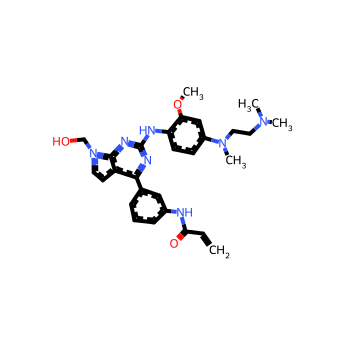 C=CC(=O)Nc1cccc(-c2nc(Nc3ccc(N(C)CCN(C)C)cc3OC)nc3c2ccn3CO)c1